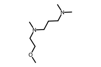 COCCN(C)CCCN(C)C